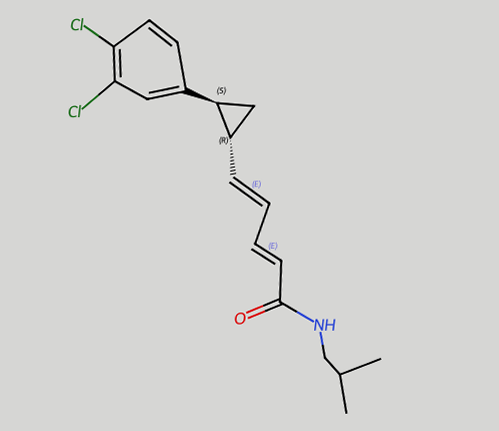 CC(C)CNC(=O)/C=C/C=C/[C@H]1C[C@@H]1c1ccc(Cl)c(Cl)c1